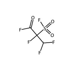 O=C(F)C(F)([C](F)F)S(=O)(=O)F